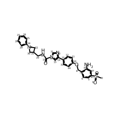 CS(=O)(=O)c1ccc(COc2ccc(-c3cn(C(=O)NCC4CN(c5ccccc5)C4)cn3)cc2)c(N)c1